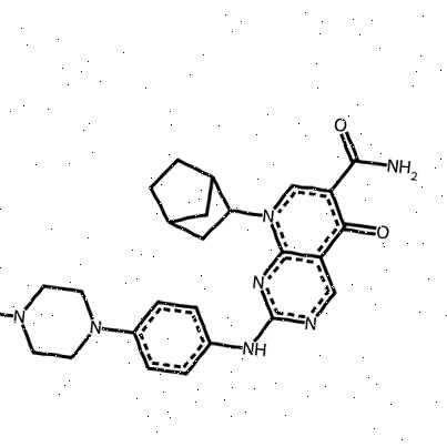 CN1CCN(c2ccc(Nc3ncc4c(=O)c(C(N)=O)cn(C5CC6CCC5C6)c4n3)cc2)CC1